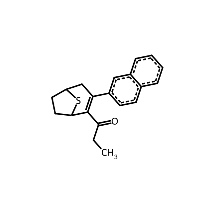 CCC(=O)C1=C(c2ccc3ccccc3c2)CC2CCC1S2